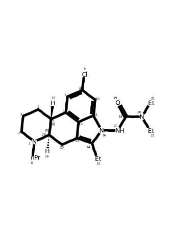 CCCN1CCC[C@@H]2c3cc(Cl)cc4c3c(c(CC)n4NC(=O)N(CC)CC)C[C@H]21